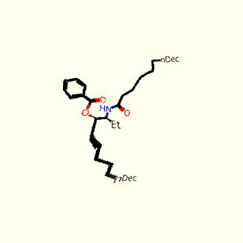 CCCCCCCCCCCCC/C=C/[C@@H](OC(=O)c1ccccc1)[C@H](CC)NC(=O)CCCCCCCCCCCCCCC